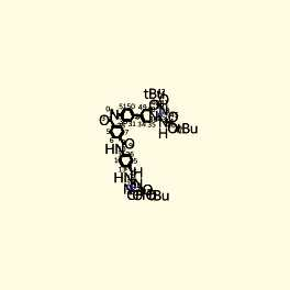 CN(C(=O)c1ccc(C(=O)Nc2ccc(CN/C(=N/C=O)NC(=O)OC(C)(C)C)cc2)cc1)c1ccc(C2=CCN(/C(=N\C(=O)OC(C)(C)C)NC(=O)OC(C)(C)C)CC2)cc1